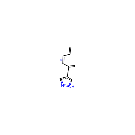 C=C/C=C\C(=C)c1cn[nH]c1